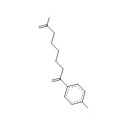 O=C(O)CCCCCC(=O)c1ccc(Br)cc1